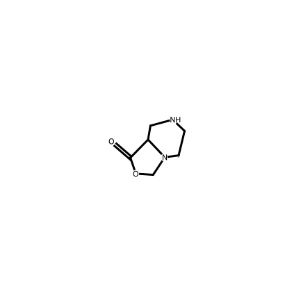 O=C1OCN2[CH]CNCC12